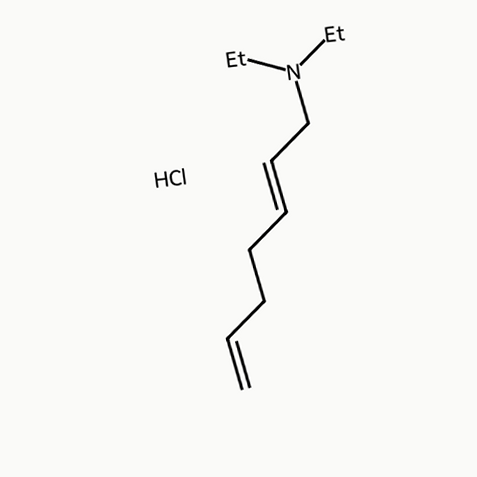 C=CCCC=CCN(CC)CC.Cl